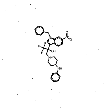 O=[N+]([O-])c1ccc2c(C(O)(CN3CCC(Nc4ccccc4)CC3)C(F)(F)F)cn(Cc3ccccc3)c2c1